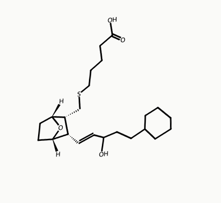 O=C(O)CCCCSC[C@@H]1[C@H](/C=C/C(O)CCC2CCCCC2)[C@@H]2CC[C@H]1O2